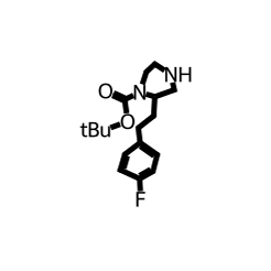 CC(C)(C)OC(=O)N1CCNCC1CCc1ccc(F)cc1